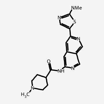 CNc1ncc(-c2cc3cc(NC(=O)C4CCN(C)CC4)ncc3cn2)s1